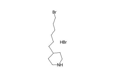 Br.BrCCCCCCC1CCNCC1